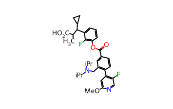 COc1cc(-c2ccc(C(=O)Oc3cccc(C(C4CC4)C(C)C(=O)O)c3F)cc2CN(C(C)C)C(C)C)c(F)cn1